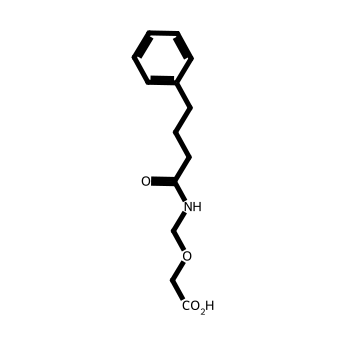 O=C(O)COCNC(=O)CCCc1ccccc1